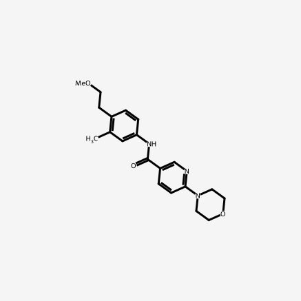 COCCc1ccc(NC(=O)c2ccc(N3CCOCC3)nc2)cc1C